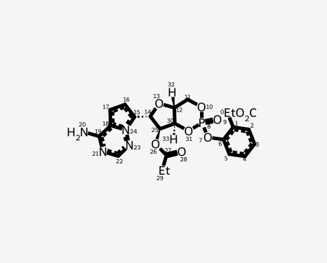 CCOC(=O)c1ccccc1OP1(=O)OC[C@H]2O[C@@H](c3ccc4c(N)ncnn34)[C@H](OC(=O)CC)[C@@H]2O1